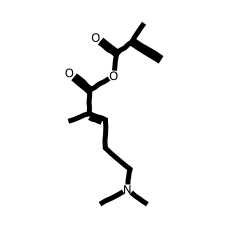 C=C(C)C(=O)OC(=O)C(C)=CCCN(C)C